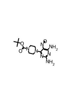 CC(C)(C)OC(=O)N1CCN(c2nc(N)nc(N)c2N=O)CC1